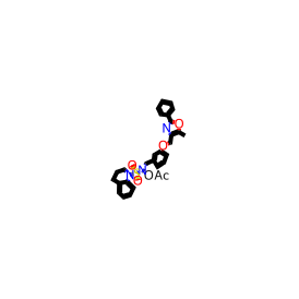 CC(=O)ON(Cc1cccc(OCc2nc(-c3ccccc3)oc2C)c1)S(=O)(=O)N1CCCc2ccccc21